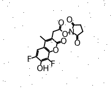 Cc1c(CC(=O)ON2C(=O)CCC2=O)c(=O)oc2c(F)c(O)c(F)cc12